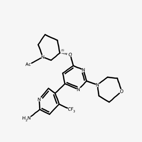 CC(=O)N1CCC[C@H](Oc2cc(-c3cnc(N)cc3C(F)(F)F)nc(N3CCOCC3)n2)C1